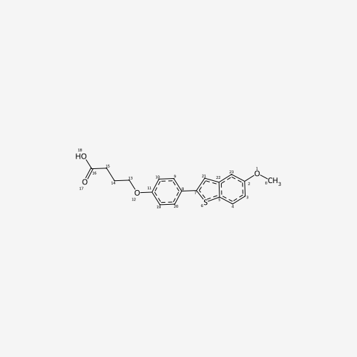 COc1ccc2sc(-c3ccc(OCCCC(=O)O)cc3)cc2c1